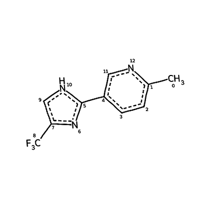 Cc1ccc(-c2nc(C(F)(F)F)c[nH]2)cn1